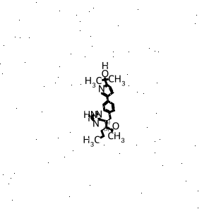 CCC[C@H](C(C)=O)[C@H](Cc1ccc(-c2ccc(C(C)(C)O)nc2)cc1)c1nn[nH]n1